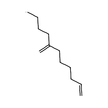 [CH2]CCCC(=C)CCCCC=C